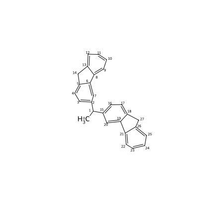 CC(c1ccc2c(c1)-c1ccccc1C2)c1ccc2c(c1)-c1ccccc1C2